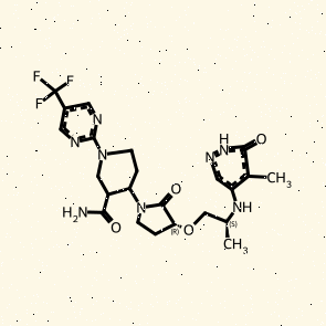 Cc1c(N[C@@H](C)CO[C@@H]2CCN(C3CCN(c4ncc(C(F)(F)F)cn4)CC3C(N)=O)C2=O)cn[nH]c1=O